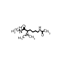 CC(=O)NCCCCC(C(=O)N[13CH3])N(C)[13CH3]